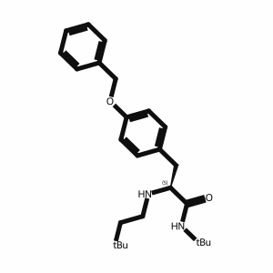 CC(C)(C)CCN[C@@H](Cc1ccc(OCc2ccccc2)cc1)C(=O)NC(C)(C)C